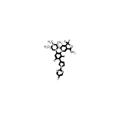 C[C@@H]1CN(c2cc(F)c(C3=CCN(c4ncc(F)cn4)C3)c(F)c2-n2cc(C(N)=O)c(C(F)(F)F)cc2=O)C[C@H](C)N1C